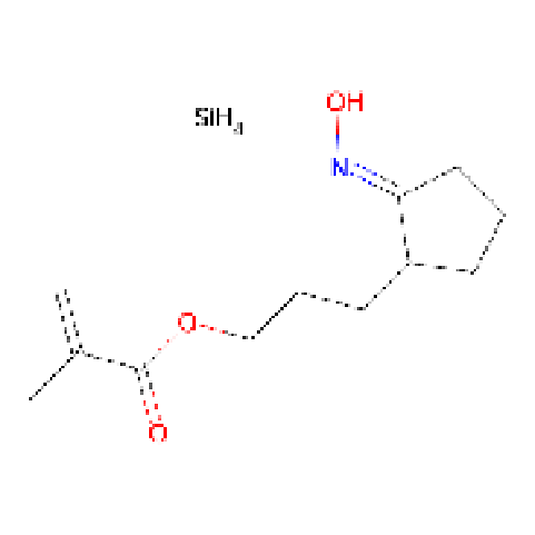 C=C(C)C(=O)OCCCC1CCCC1=NO.[SiH4]